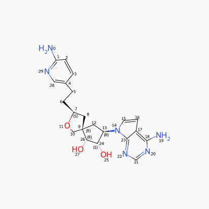 Nc1ccc(CC[C@H]2C[C@@]3(CO2)C[C@@H](n2ccc4c(N)ncnc42)[C@H](O)[C@@H]3O)cn1